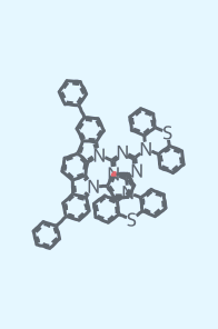 c1ccc(-c2ccc3c(c2)c2ccc4c5cc(-c6ccccc6)ccc5n(-c5nc(N6c7ccccc7Sc7ccccc76)nc(N6c7ccccc7Sc7ccccc76)n5)c4c2n3-c2ccccc2)cc1